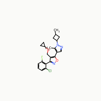 Cc1c(-c2onc(-c3c(F)cccc3Cl)c2COC2CC2)cnn1C1CC(C)C1